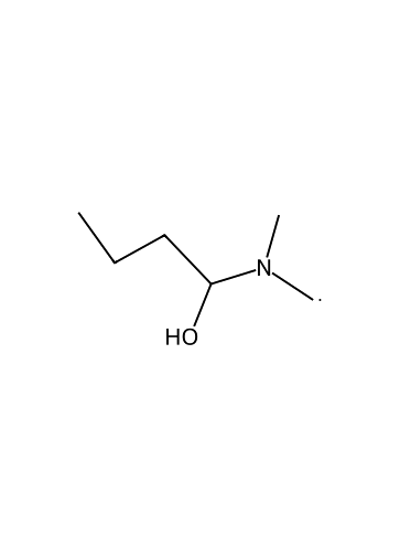 [CH2]N(C)C(O)CCC